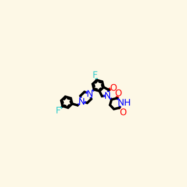 O=C1CCC(N2Cc3c(cc(F)cc3N3CCN(Cc4cccc(F)c4)CC3)C2=O)C(=O)N1